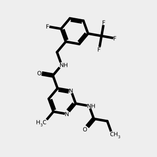 CCC(=O)Nc1nc(C)cc(C(=O)NCc2cc(C(F)(F)F)ccc2F)n1